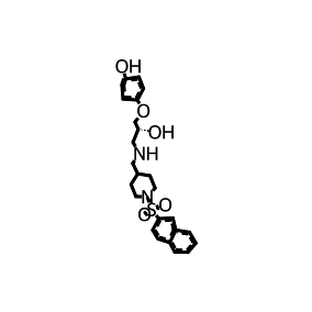 O=S(=O)(c1ccc2ccccc2c1)N1CCC(CNC[C@@H](O)COc2ccc(O)cc2)CC1